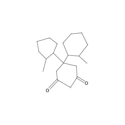 CC1CCCCC1C1(C2CCCCC2C)CC(=O)CC(=O)C1